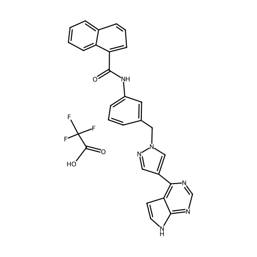 O=C(Nc1cccc(Cn2cc(-c3ncnc4[nH]ccc34)cn2)c1)c1cccc2ccccc12.O=C(O)C(F)(F)F